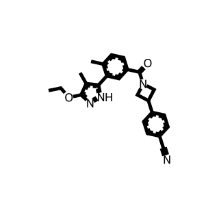 CCOc1n[nH]c(-c2cc(C(=O)N3CC(c4ccc(C#N)cc4)C3)ccc2C)c1C